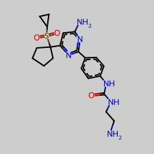 NCCNC(=O)Nc1ccc(-c2nc(N)cc(C3(S(=O)(=O)C4CC4)CCCC3)n2)cc1